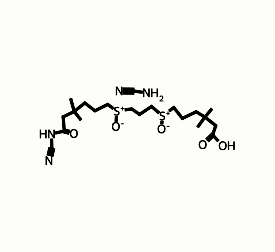 CC(C)(CCC[S+]([O-])CCC[S+]([O-])CCCC(C)(C)CC(=O)NC#N)CC(=O)O.N#CN